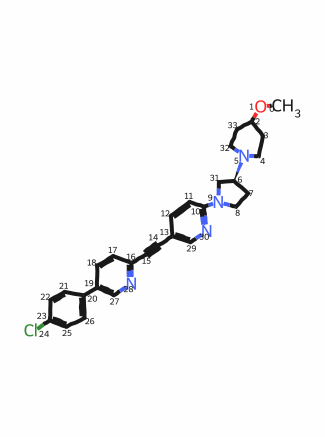 COC1CCN([C@H]2CCN(c3ccc(C#Cc4ccc(-c5ccc(Cl)cc5)cn4)cn3)C2)CC1